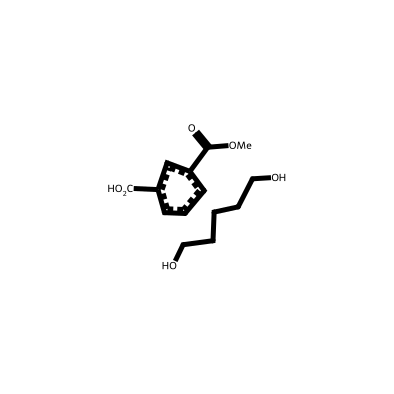 COC(=O)c1cccc(C(=O)O)c1.OCCCCCO